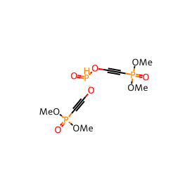 COP(=O)(C#CO[PH](=O)OC#CP(=O)(OC)OC)OC